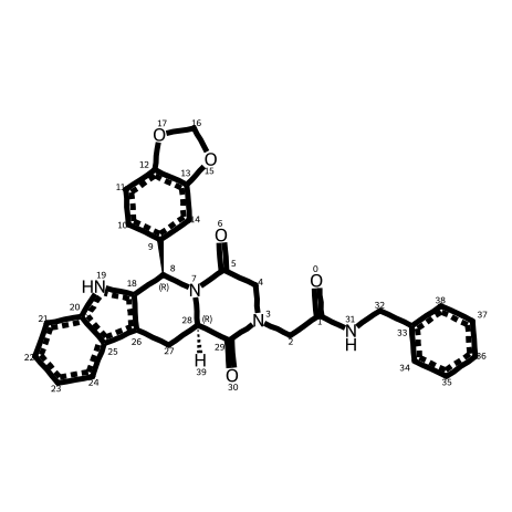 O=C(CN1CC(=O)N2[C@H](c3ccc4c(c3)OCO4)c3[nH]c4ccccc4c3C[C@@H]2C1=O)NCc1ccccc1